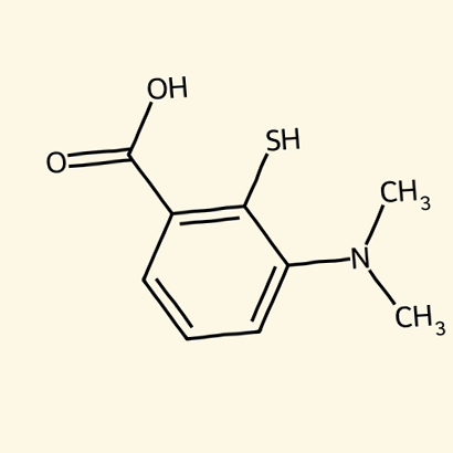 CN(C)c1cccc(C(=O)O)c1S